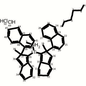 CCCCCC.C[SiH2][Ti]([C]1=c2ccccc2=CC1(C)c1cccc2ccccc12)[C]1=c2ccccc2=CC1(C)c1cccc2ccccc12.Cl.Cl